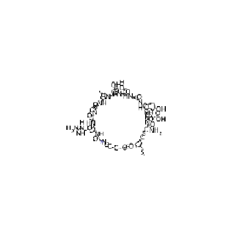 CSCc1cc2cc(c1)OCCCCCCO/N=C/C(=O)N[C@@H](CCCNC(=N)N)C(=O)N[C@@H](C)C(=O)N1CCC[C@H]1C(=O)N[C@@H](CC(C)C)C(=O)N[C@@H](CC(=O)O)C(=O)N[C@@H]([C@@H](C)O)C(=O)N[C@@H](C)C(=O)NC(Cc1ccc(O)cc1)C(=O)N[C@@H](CCC(=O)O)C(=O)N[C@H](C(N)=O)CSC2